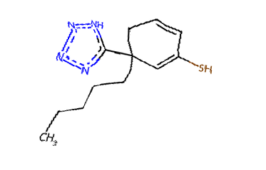 CCCCCC1(c2nnn[nH]2)C=C(S)C=CC1